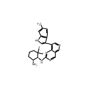 N[C@H]1CCCC(F)(F)[C@H]1Nc1ncc2cncc(-c3c[nH]c4cc(C(F)(F)F)ccc34)c2n1